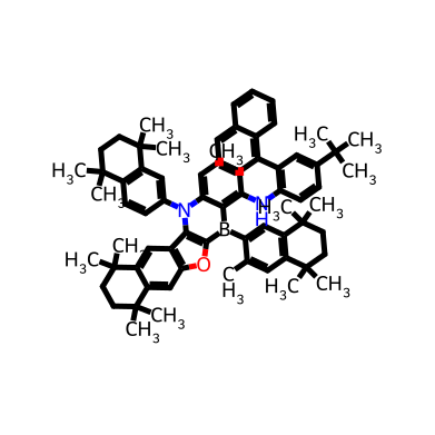 Cc1cc(Nc2ccc(C(C)(C)C)cc2C2=c3ccccc3=CCC2)c2c(c1)N(c1ccc3c(c1)C(C)(C)CCC3(C)C)c1c(oc3cc4c(cc13)C(C)(C)CCC4(C)C)B2c1cc2c(cc1C)C(C)(C)CCC2(C)C